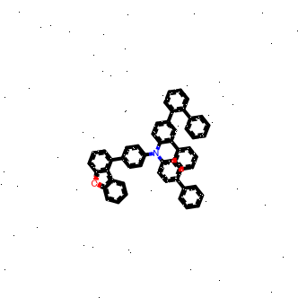 c1ccc(-c2ccc(N(c3ccc(-c4cccc5oc6ccccc6c45)cc3)c3ccc(-c4ccccc4-c4ccccc4)cc3-c3ccccc3)cc2)cc1